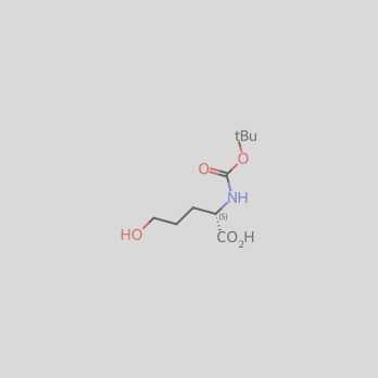 CC(C)(C)OC(=O)N[C@@H](CCCO)C(=O)O